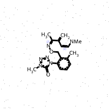 C=C(/C=C\NC)/C(C)=N\OCc1c(C)cccc1-n1nnn(C)c1=O